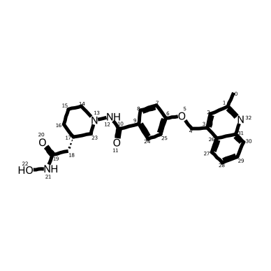 Cc1cc(COc2ccc(C(=O)NN3CCC[C@@H](CC(=O)NO)C3)cc2)c2ccccc2n1